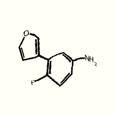 Nc1ccc(F)c(-c2ccoc2)c1